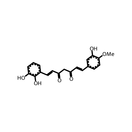 COc1ccc(/C=C/C(=O)CC(=O)/C=C/c2cccc(O)c2O)cc1O